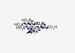 CC1CN(C)C(=O)N1C.O=C(O)CN(CCN(CC(=O)O)CC(=O)O)CC(=O)O.O=C(O)CN(CCN(CC(=O)O)CC(=O)O)CC(=O)O